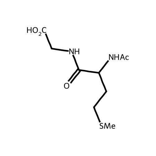 CSCCC(NC(C)=O)C(=O)NCC(=O)O